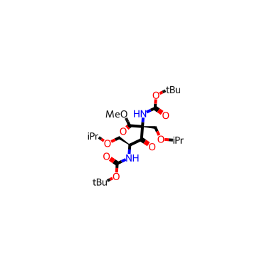 COC(=O)[C@](COC(C)C)(NC(=O)OC(C)(C)C)C(=O)[C@H](COC(C)C)NC(=O)OC(C)(C)C